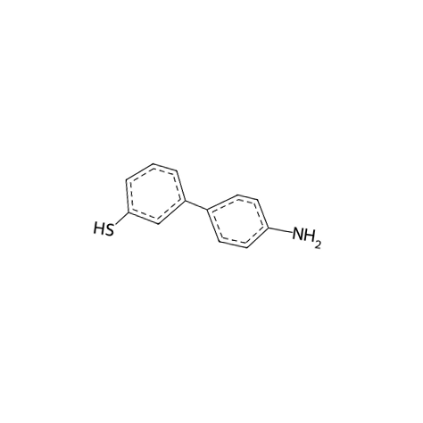 Nc1ccc(-c2cccc(S)c2)cc1